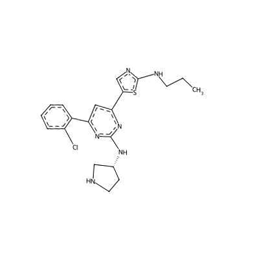 CCCNc1ncc(-c2cc(-c3ccccc3Cl)nc(N[C@@H]3CCNC3)n2)s1